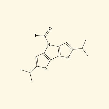 CC(C)c1cc2c(s1)c1sc(C(C)C)cc1n2C(=O)I